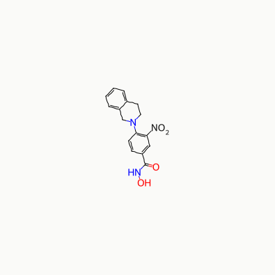 O=C(NO)c1ccc(N2CCc3ccccc3C2)c([N+](=O)[O-])c1